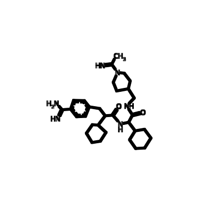 CC(=N)N1CCC(CNC(=O)C(NC(=O)C(Cc2ccc(C(=N)N)cc2)C2CCCCC2)C2CCCCC2)CC1